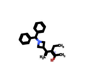 C=C(/C(CC)=C(/C)Br)C1CN(C(c2ccccc2)c2ccccc2)C1